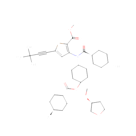 COC(=O)c1sc(C#CC(C)(C)C)cc1N(C(=O)[C@H]1CC[C@H](C)CC1)[C@H]1CC[C@](CO[C@H]2CCOC2)(OC(=O)[C@H]2CC[C@H](C)CC2)CC1